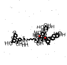 CC1O[C@@H](OC2C(O)[C@@H](NC(=O)CCCCCNC(=S)Nc3ccc(-c4c5ccc(=O)cc-5oc5cc(O)ccc45)c(C(=O)O)c3)C(CO)O[C@H]2OC(=O)[C@]23CCC(C)(C)CC2C2=CCC4C5(C)CC[C@H](O)C(C)(C=O)[C@H]5CCC4(C)C2(C)CC3O)C(CO)C(O)[C@H]1O[C@@H]1OC[C@@H](O)C(O)C1O